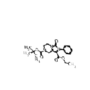 CCOC(=O)c1c2n(c(=O)n1-c1ccccc1)CCN(C(=O)OC(C)(C)C)C2